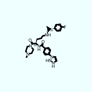 CN1CCN(C(=O)[C@@H](CCCN[C@H]2C[C@@H]2c2ccc(F)cc2)NC(=O)c2ccc(N3C=CNN3)cc2)CC1